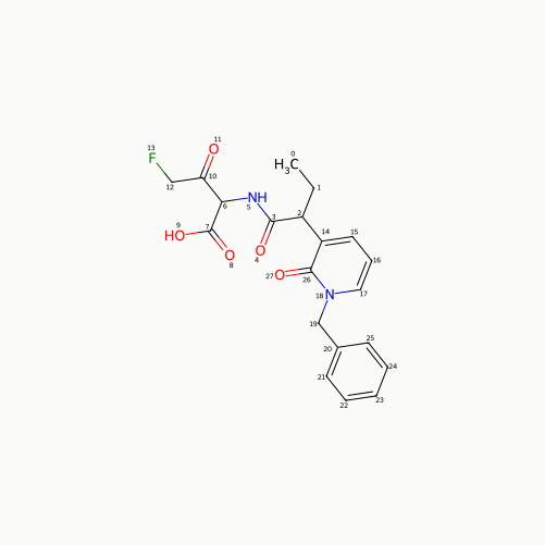 CCC(C(=O)NC(C(=O)O)C(=O)CF)c1cccn(Cc2ccccc2)c1=O